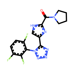 O=C(c1nc(-c2nnnn2-c2c(F)ccc(F)c2F)c[nH]1)N1CCCC1